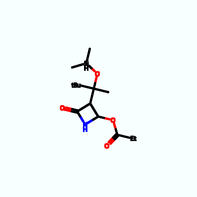 CCC(=O)OC1NC(=O)C1C(C)(O[SiH](C)C)C(C)(C)C